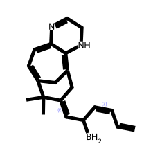 BC(/C=C\C=C)/C=C1\CC2=C3NCC=NC3=CC=C(C2)C1(C)C